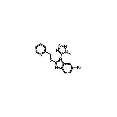 Cn1nnnc1-n1c(SCc2ccccn2)nc2ccc(Br)cc21